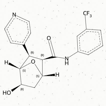 O=C(Nc1cccc(C(F)(F)F)c1)[C@@H]1[C@H](c2ccncc2)[C@@H]2O[C@H]1C[C@H]2O